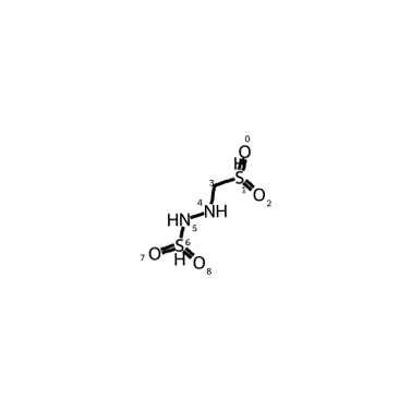 O=[SH](=O)CNN[SH](=O)=O